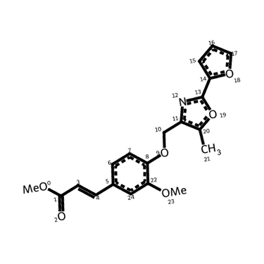 COC(=O)/C=C/c1ccc(OCc2nc(-c3ccco3)oc2C)c(OC)c1